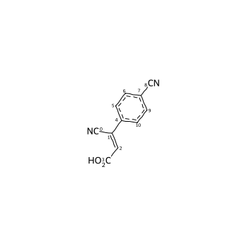 N#CC(=CC(=O)O)c1ccc(C#N)cc1